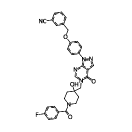 N#Cc1cccc(COc2ccc(-n3ncc4c(=O)n(CC5(O)CCN(C(=O)c6ccc(F)cc6)CC5)cnc43)cc2)c1